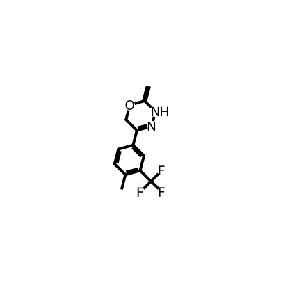 C=C1NN=C(c2ccc(C)c(C(F)(F)F)c2)CO1